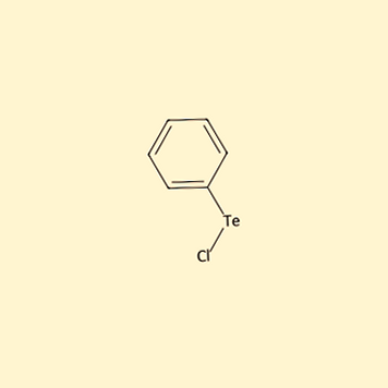 Cl[Te]c1ccccc1